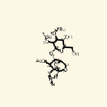 CCCCOC1C(OCCCC)[C@H](O)C(CO)O[C@H]1O[C@@H]1C2CO[C@H](O2)C(N=[N+]=[N-])C1OC(C)=O